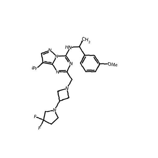 COc1cccc(C(C)Nc2nc(CN3CC(N4CCC(F)(F)C4)C3)nc3c(C(C)C)cnn23)c1